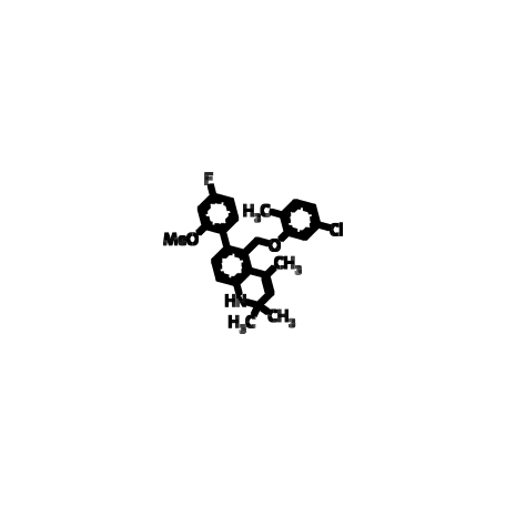 COc1cc(F)ccc1-c1ccc2c(c1COc1cc(Cl)ccc1C)C(C)=CC(C)(C)N2